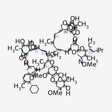 CO/N=C1/C[C@]2(C[C@@H]3C[C@@H](C/C=C(\C)C[C@@H](C)/C=C/C=C4\CO[C@@H]5[C@H](O)C(C)=C[C@@H](C(=O)O3)[C@]45O)O2)O[C@H](/C(C)=C/C(C)C)[C@H]1C.CO[C@H]1C[C@H](O[C@H]2[C@H](C)O[C@@H](O[C@@H]3/C(C)=C/C[C@@H]4C[C@@H](C[C@]5(C=C[C@H](C)[C@@H](C6CCCCC6)O5)O4)OC(=O)[C@@H]4C=C(C)[C@@H](O)[C@H]5OC/C(=C\C=C\[C@@H]3C)[C@]54O)C[C@@H]2OC)O[C@@H](C)[C@@H]1O